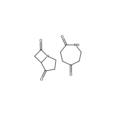 O=C1CCN2C(=O)CC12.O=C1CCNC(=O)CC1